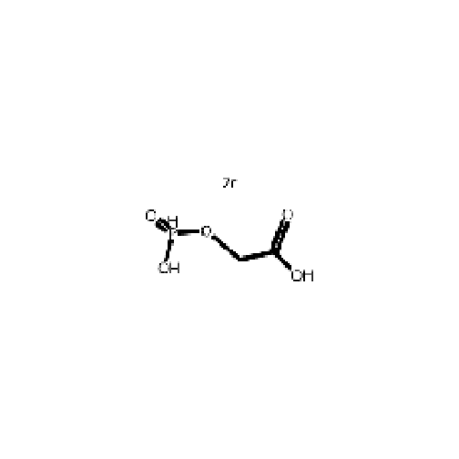 O=C(O)CO[PH](=O)O.[Zr]